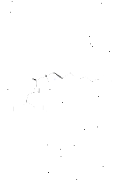 CCCOC/C=C/C(F)(F)C(=O)NCC(C)C